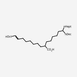 CCCCCCCCC=CCCCCCCC(CCCCCC(CCCCCCC)CCCCCCCCCC)C(=O)O